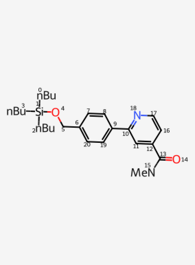 CCCC[Si](CCCC)(CCCC)OCc1ccc(-c2cc(C(=O)NC)ccn2)cc1